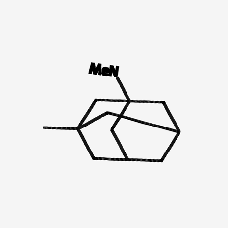 CNC12CC3CC(CC(C)(C3)C1)C2